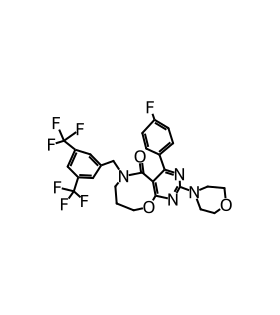 O=C1c2c(nc(N3CCOCC3)nc2-c2ccc(F)cc2)OCCCN1Cc1cc(C(F)(F)F)cc(C(F)(F)F)c1